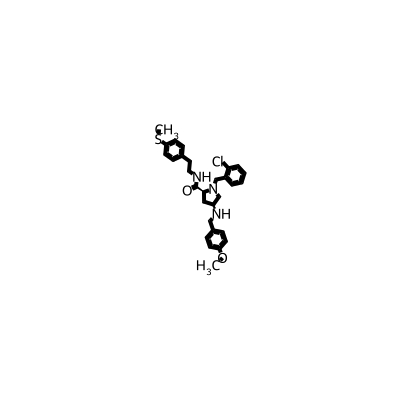 COc1ccc(CN[C@H]2C[C@@H](C(=O)NCCc3ccc(SC)cc3)N(Cc3ccccc3Cl)C2)cc1